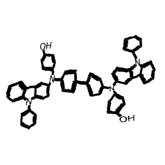 Oc1ccc(N(c2ccc(-c3ccc(N(c4ccc(O)cc4)c4ccc5c(c4)c4ccccc4n5-c4ccccc4)cc3)cc2)c2ccc3c(c2)c2ccccc2n3-c2ccccc2)cc1